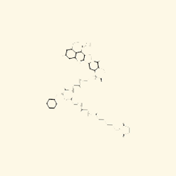 CC[C@@]1(OCNC(=O)CNC(=O)[C@H](Cc2ccccc2)NC(=O)CNC(=O)CNC(=O)CCCCCN2C(=O)CCC2=O)C(=O)OCc2c1cc1n(c2=O)Cc2c-1nc1cc(F)c(C)c3c1c2[C@@H](N)CC3